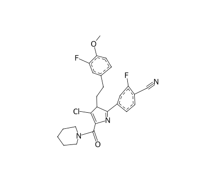 COc1ccc(CCC2C(c3ccc(C#N)c(F)c3)=NC(C(=O)N3CCCCC3)=C2Cl)cc1F